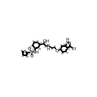 CCc1n[nH]c2cc(OCCNCC(O)c3cccc(NS(=O)(=O)c4cccs4)c3)ccc12